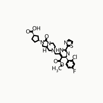 COC(=O)C1=C(CN2CCN3C(=O)N([C@@H]4CC[C@@H](C(=O)O)C4)C[C@@H]3C2)NC(c2nccs2)=N[C@H]1c1ccc(F)cc1Cl